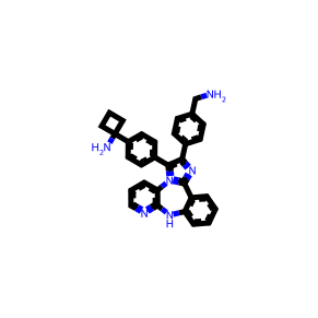 NCc1ccc(-c2nc3n(c2-c2ccc(C4(N)CCC4)cc2)-c2cccnc2Nc2ccccc2-3)cc1